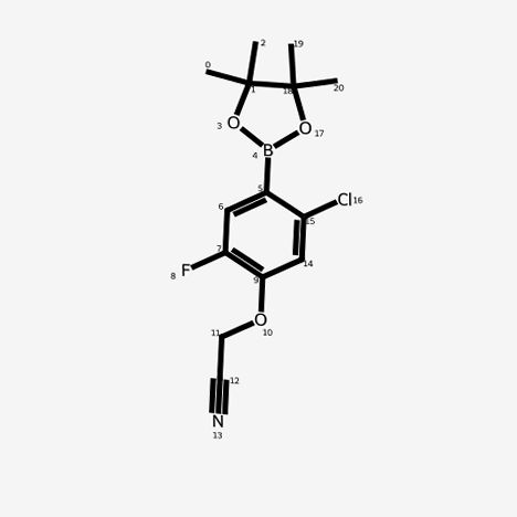 CC1(C)OB(c2cc(F)c(OCC#N)cc2Cl)OC1(C)C